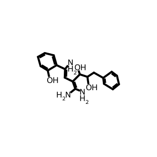 NC(N)=C(/C=C(\N)c1ccccc1O)C(O)C(O)Cc1ccccc1